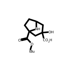 CC(C)(C)OC(=O)C12CCC(CC(O)(C(=O)O)C1)N2